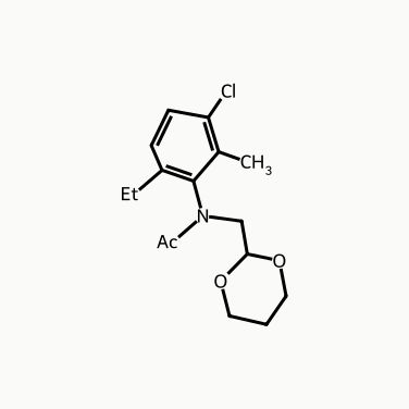 CCc1ccc(Cl)c(C)c1N(CC1OCCCO1)C(C)=O